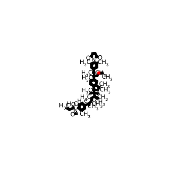 C=CC(CC)(C(/C=C(\C)C(C)(C)c1cc(C)c(N(C=O)C(=O)/C=C\C)c(C)c1)=C/C)C1(C)CC(C)(C)c2cc(C(C)(C/C=C\C)C(C)(C)c3cc(C)c(N4C(=O)C=CC4=O)c(C)c3)ccc21